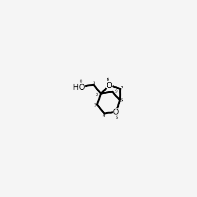 OCC12CCOC(CO1)C2